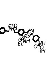 CCNS(=O)(=O)c1cc(CC(=O)N(C)Cc2ccccc2)ccc1-c1cnc([C@H]2CC[C@H](NC(=O)OC(C)C)CC2)s1